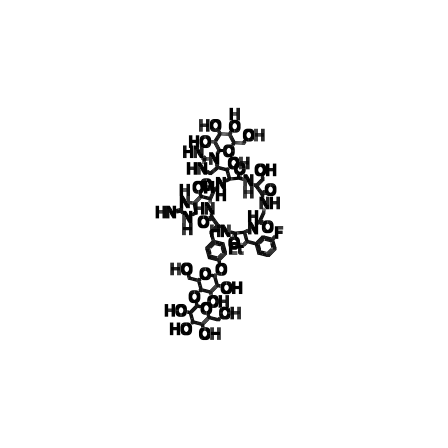 CCC(c1cccc(F)c1)C1NC(=O)CNC(=O)C(CO)NC(=O)C(C(O)C2CNC(=N)N2C2OC(CO)C(O)C(O)C2O)NC(=O)C(C(O)C2CNC(=N)N2)NC(=O)C(Cc2ccc(OC3OC(CO)C(OC4OC(CO)C(O)C(O)C4O)C(O)C3O)cc2)NC1=O